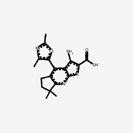 Cc1nc(C)c(-c2c3c(nc4sc(C(=O)O)c(N)c24)C(C)(C)CC3)s1